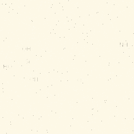 Nc1cccc(OCCC[Si](O)(O)O)c1